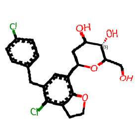 OCC1OC(c2cc(Cc3ccc(Cl)cc3)c(Cl)c3c2OCC3)CC(O)[C@@H]1O